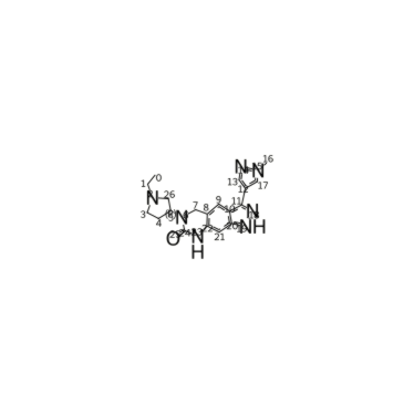 CCN1CC[C@@H](N2Cc3cc4c(-c5cnn(C)c5)n[nH]c4cc3NC2=O)C1